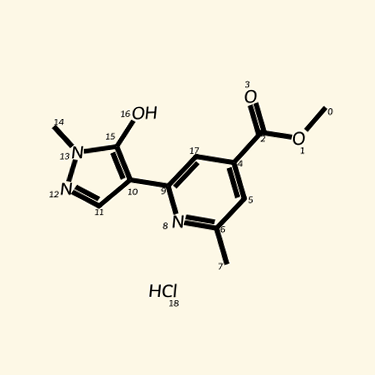 COC(=O)c1cc(C)nc(-c2cnn(C)c2O)c1.Cl